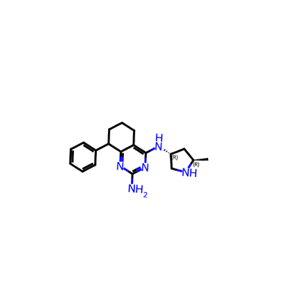 C[C@@H]1C[C@@H](Nc2nc(N)nc3c2CCCC3c2ccccc2)CN1